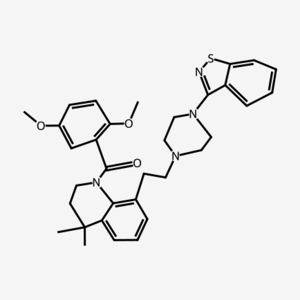 COc1ccc(OC)c(C(=O)N2CCC(C)(C)c3cccc(CCN4CCN(c5nsc6ccccc56)CC4)c32)c1